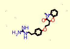 CN1C(=O)C(CCOc2ccc(CCNC(=N)N)cc2)Oc2ccccc21